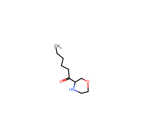 CCCCCC(=O)C1COCCN1